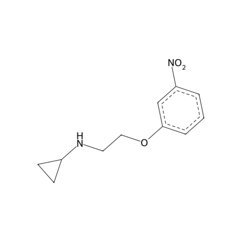 O=[N+]([O-])c1cccc(OCCNC2CC2)c1